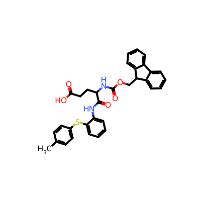 Cc1ccc(Sc2ccccc2NC(=O)C(CCC(=O)O)NC(=O)OCC2c3ccccc3-c3ccccc32)cc1